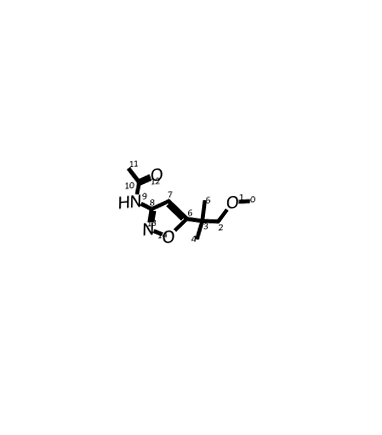 COCC(C)(C)c1cc(NC(C)=O)no1